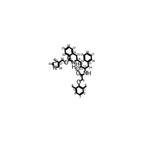 Cc1cccc(C)c1OCC(=O)NC(Cc1ccccc1)C(O)CC(Cc1ccccc1)NC(=O)OCc1cncs1